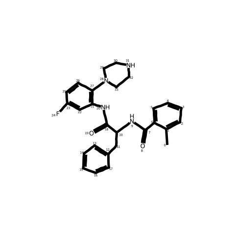 Cc1ccccc1C(=O)NC(Cc1ccccc1)C(=O)Nc1cc(F)ccc1N1CCNCC1